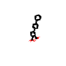 O=C1OC(=O)c2cc(-c3ccc(-c4ccccc4)cc3)ccc21